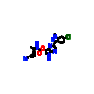 C[C@@H](NC(=O)Oc1c[nH]c2ncc(-c3nn(C)c4cc(Cl)ccc34)nc12)[C@@H]1C[C@@H]1C#N